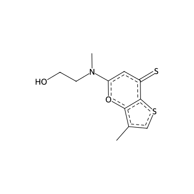 Cc1csc2c(=S)cc(N(C)CCO)oc12